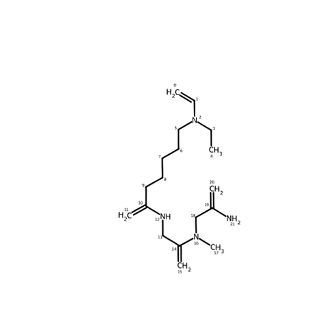 C=CN(CC)CCCCCC(=C)NCC(=C)N(C)CC(=C)N